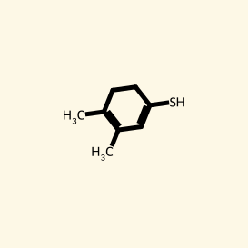 CC1=C(C)CCC(S)=C1